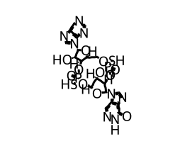 O=c1[nH]ncc2c1ncn2[C@@H]1O[C@@H]2OP(=O)(S)O[C@H]3[C@@H](O)[C@H](n4cnc5cncnc54)O[C@@H]3COP(=O)(S)O[C@@H]1[C@@H]2O